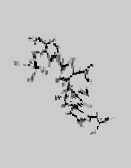 CC(C)n1nc(-c2cnc(N)c(OC(F)(F)F)c2)cc1[C@H]1[C@@H]2C[C@@]3(CCN3CC(F)F)C[C@@H]21